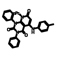 CCCn1c(=O)cc(Nc2ccc(C)cc2)c2c(=O)n(-c3ccccc3)c(=O)n(-c3ccccc3)c21